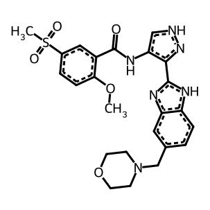 COc1ccc(S(C)(=O)=O)cc1C(=O)Nc1c[nH]nc1-c1nc2cc(CN3CCOCC3)ccc2[nH]1